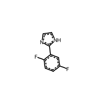 Fc1ccc(F)c(-c2ncc[nH]2)c1